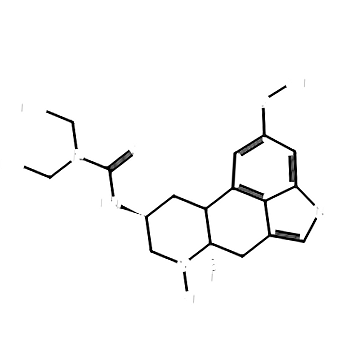 CCN(CC)C(=S)N[C@H]1CC2c3cc(SC)cc4[nH]cc(c34)C[C@H]2N(C)C1